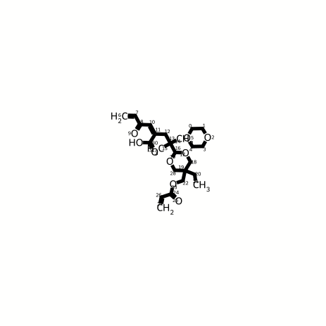 C1COCCO1.C=CC(=O)C=C(CC(C)(C)C1OCC(CC)(COC(=O)C=C)CO1)C(=O)O